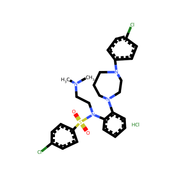 CN(C)CCN(c1ccccc1N1CCCN(c2ccc(Cl)cc2)CC1)S(=O)(=O)c1ccc(Cl)cc1.Cl